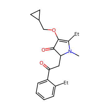 CCC1=C(OCC2CC2)C(=O)C(CC(=O)c2ccccc2CC)N1C